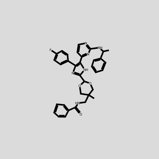 CC(Nc1nccc(-c2[nH]c(C3OCC(C)(CNC(=O)c4ccccc4)CO3)nc2-c2ccc(F)cc2)n1)c1ccccc1